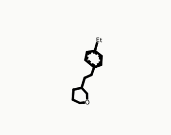 CCc1ccc(CCC2CCCOC2)cc1